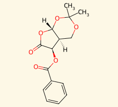 CC1(C)OC[C@@H]2[C@H](OC(=O)[C@@H]2OC(=O)c2ccccc2)O1